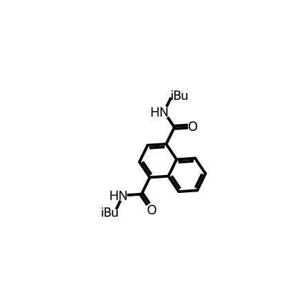 CCC(C)NC(=O)c1ccc(C(=O)NC(C)CC)c2ccccc12